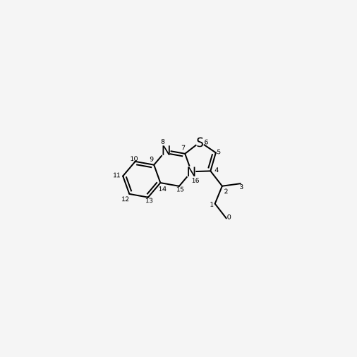 CCC(C)C1=CSC2=Nc3ccccc3CN12